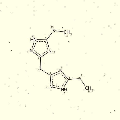 CSc1nc(Cc2n[nH]c(SC)n2)n[nH]1